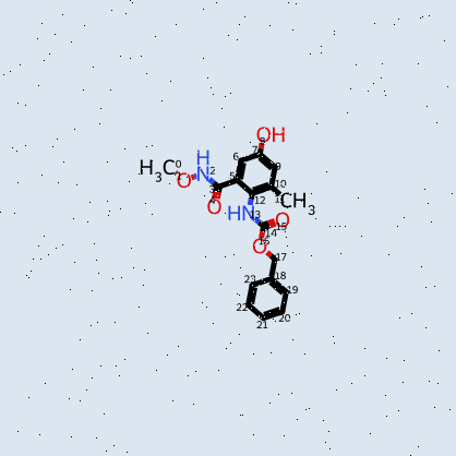 CONC(=O)c1cc(O)cc(C)c1NC(=O)OCc1ccccc1